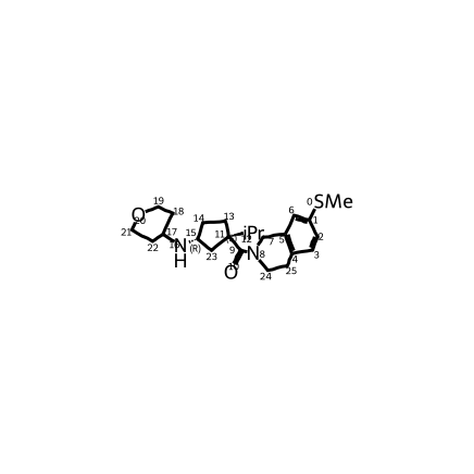 CSc1ccc2c(c1)CN(C(=O)[C@@]1(C(C)C)CC[C@@H](NC3CCOCC3)C1)CC2